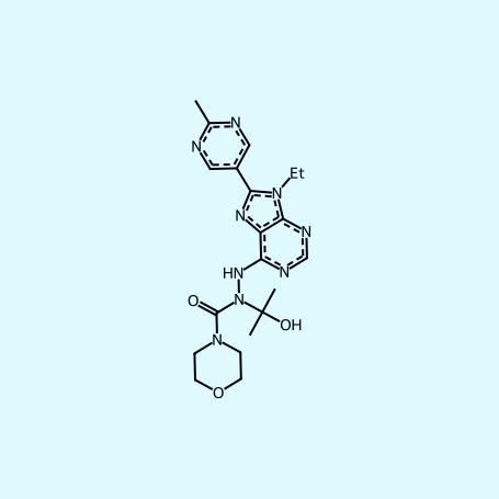 CCn1c(-c2cnc(C)nc2)nc2c(NN(C(=O)N3CCOCC3)C(C)(C)O)ncnc21